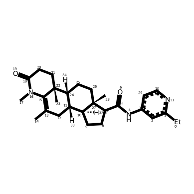 CCc1cc(NC(=O)C2CC[C@H]3[C@@H]4CC(C)=C5N(C)C(=O)CC[C@]5(C)[C@@H]4CC[C@]23C)ccn1